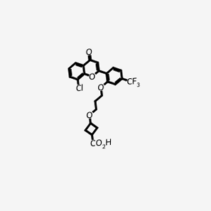 O=C(O)C1CC(OCCCOc2cc(C(F)(F)F)ccc2-c2cc(=O)c3cccc(Cl)c3o2)C1